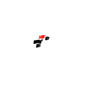 [Cr].[MgH+].[OH-].[Zn]